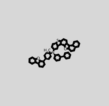 CC1(N(c2cccc(-c3ccccc3)c2)c2ccc3sc4ccc5c(oc6ccc7ccccc7c65)c4c3c2)C=CC(c2cccc3c2oc2ccccc23)=CC1